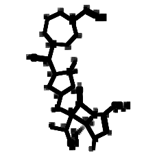 CC1C=C(C(=O)O)N2C(=O)C(SC3CC(C(=O)N4CCCN(C=N)CC4)N(C)C3)(C(C)O)[C@H]12